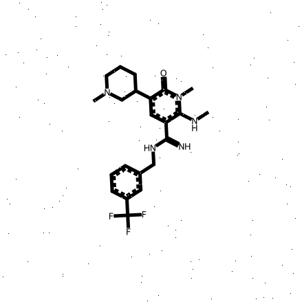 CNc1c(C(=N)NCc2cccc(C(F)(F)F)c2)cc(C2CCCN(C)C2)c(=O)n1C